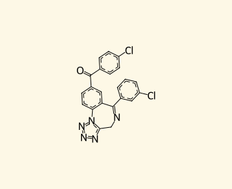 O=C(c1ccc(Cl)cc1)c1ccc2c(c1)C(c1cccc(Cl)c1)=NCc1nnnn1-2